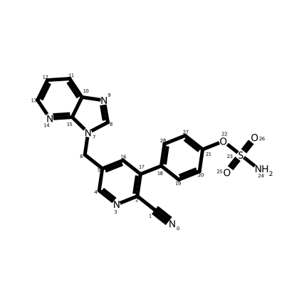 N#Cc1ncc(Cn2cnc3cccnc32)cc1-c1ccc(OS(N)(=O)=O)cc1